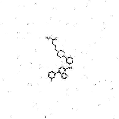 Cc1cccc(-c2cnc(Nc3cccc(C4CCN(CCCC(N)=O)CC4)c3)c3nccn23)c1